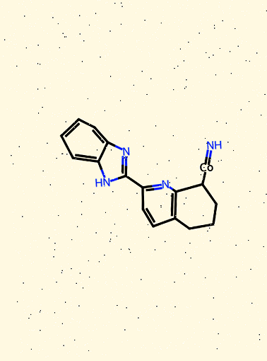 [NH]=[Co][CH]1CCCc2ccc(-c3nc4ccccc4[nH]3)nc21